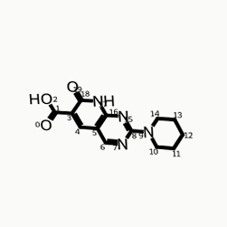 O=C(O)c1cc2cnc(N3CCCCC3)nc2[nH]c1=O